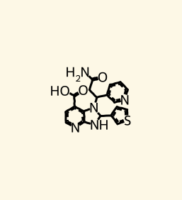 NC(=O)CC(c1cccnc1)N1c2c(C(=O)O)ccnc2NC1c1ccsc1